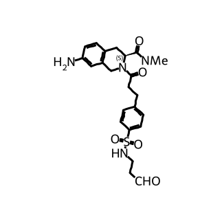 CNC(=O)[C@@H]1Cc2ccc(N)cc2CN1C(=O)CCc1ccc(S(=O)(=O)NCCC=O)cc1